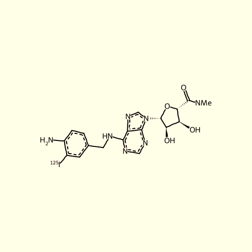 CNC(=O)[C@H]1O[C@@H](n2cnc3c(NCc4ccc(N)c([125I])c4)ncnc32)[C@H](O)[C@@H]1O